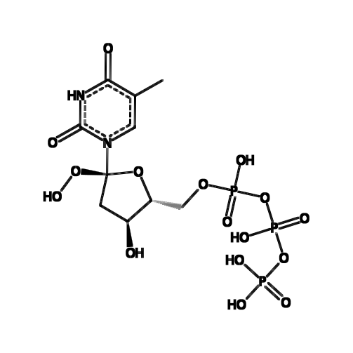 Cc1cn([C@@]2(OO)C[C@H](O)[C@@H](COP(=O)(O)OP(=O)(O)OP(=O)(O)O)O2)c(=O)[nH]c1=O